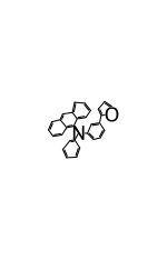 c1ccc(N(c2cccc(-c3ccco3)c2)c2c3ccccc3cc3ccccc23)cc1